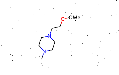 COOCCN1CCN(C)CC1